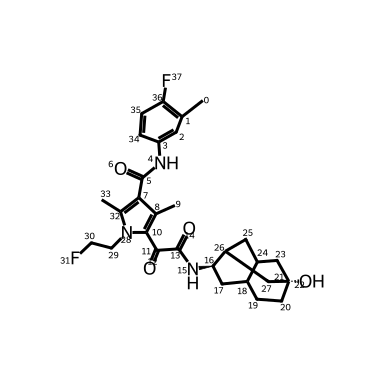 Cc1cc(NC(=O)c2c(C)c(C(=O)C(=O)N[C@@H]3CC4CC[C@]5(O)CC4CC3C5)n(CCF)c2C)ccc1F